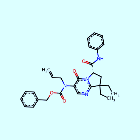 C=CCN(C(=O)OCc1ccccc1)c1cnc2n(c1=O)[C@H](C(=O)Nc1ccccc1)CC2(CC)CC